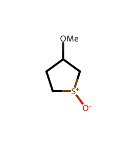 COC1CC[S+]([O-])C1